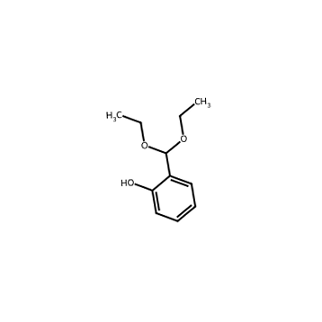 CCOC(OCC)c1ccccc1O